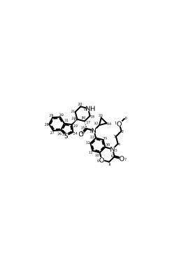 COCCCN1C(=O)COc2ccc(N(C(=O)[C@H]3CNCC[C@@H]3c3csc4ccccc34)C3CC3)cc21